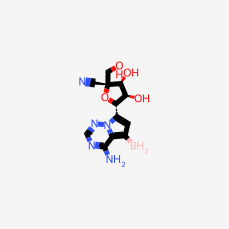 Bc1cc([C@@H]2O[C@](C#N)(CO)[C@@H](O)[C@H]2O)n2ncnc(N)c12